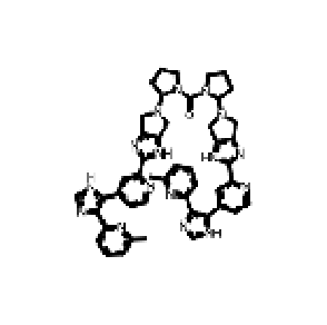 Cc1cccc(-c2nc[nH]c2-c2ccnc(-c3nc4c([nH]3)CN(C3CCCN3C(=O)N3CCCC3N3Cc5nc(-c6cc(-c7[nH]cnc7-c7cccc(C)n7)ccn6)[nH]c5C3)C4)c2)n1